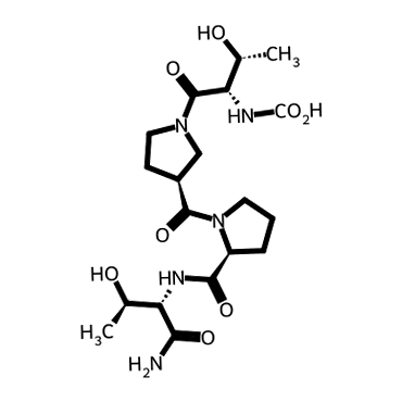 C[C@@H](O)[C@H](NC(=O)[C@@H]1CCCN1C(=O)[C@H]1CCN(C(=O)[C@@H](NC(=O)O)[C@@H](C)O)C1)C(N)=O